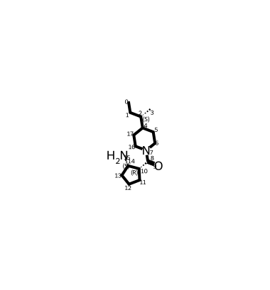 CC[C@H](C)C1CCN(C(=O)[C@@H]2CCC[C@@H]2N)CC1